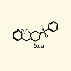 CCOC(=O)C1CN(S(=O)(=O)c2ccccc2)C[C@@H](C(=O)OCC)N1Cc1ccccc1